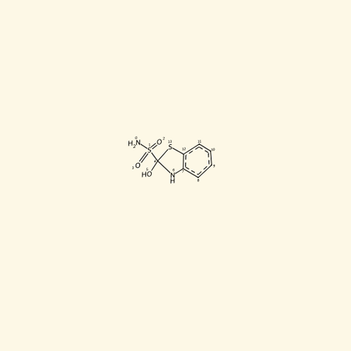 NS(=O)(=O)C1(O)Nc2ccccc2S1